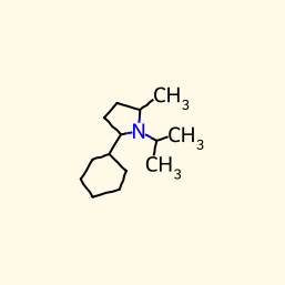 CC(C)N1C(C)CCC1C1CCCCC1